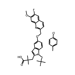 COc1cc2nc(COc3ccc4c(c3)cc(CC(C)(C)C(=O)O)n4SC(C)(C)C)ccc2cc1F.Cc1ccc(Cl)cc1